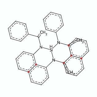 C=C(c1ccccc1)N(c1ccccc1)[SiH](N(C(=C)c1ccccc1)c1ccccc1)N(C(=C)c1ccccc1)c1ccccc1